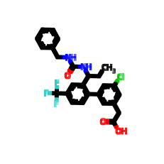 CCC(NC(=O)NCc1ccccc1)c1cc(C(F)(F)F)ccc1-c1cc(Cl)cc(CC(=O)O)c1